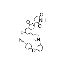 N#Cc1ccc(Oc2cccc(CN3CCC(c4cc(F)cc5c4CN(C4CCC(=O)NC4=O)C5=O)CC3)c2)cc1